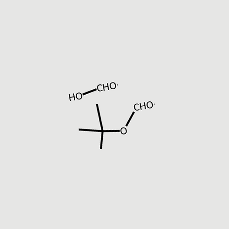 CC(C)(C)O[C]=O.O=[C]O